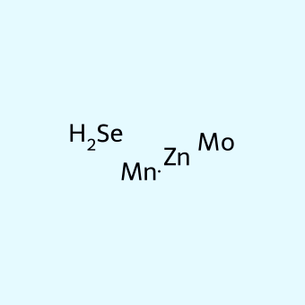 [Mn].[Mo].[SeH2].[Zn]